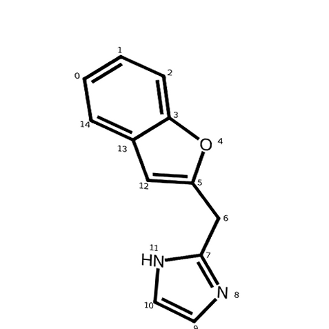 c1ccc2oc(Cc3ncc[nH]3)cc2c1